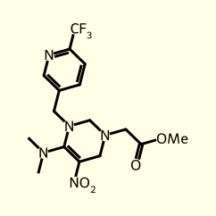 COC(=O)CN1CC([N+](=O)[O-])=C(N(C)C)N(Cc2ccc(C(F)(F)F)nc2)C1